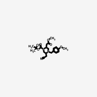 COC(=O)CC1CN(Cc2ccc(OC)cc2)C(CC#N)CN1C(=O)OC(C)(C)C